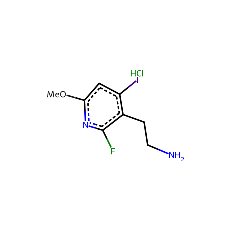 COc1cc(I)c(CCN)c(F)n1.Cl